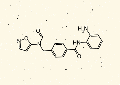 Nc1ccccc1NC(=O)c1ccc(CN(C=O)c2ccno2)cc1